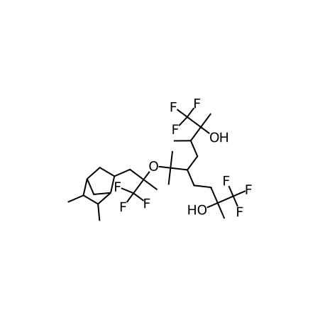 CC1C2CC(CC(C)(OC(C)(C)C(CCC(C)(O)C(F)(F)F)CC(C)C(C)(O)C(F)(F)F)C(F)(F)F)C(C2)C1C